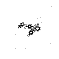 CC(C)(C)c1cc(NC(=O)c2ccc(CN([C@@H]3CCCCNC3=O)S(=O)(=O)c3ccc(Cl)cc3)cc2)no1